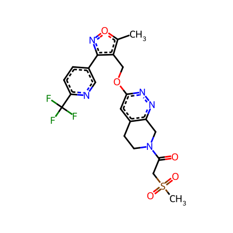 Cc1onc(-c2ccc(C(F)(F)F)nc2)c1COc1cc2c(nn1)CN(C(=O)CS(C)(=O)=O)CC2